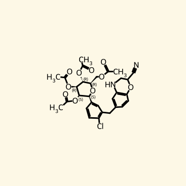 CC(=O)OC[C@H]1O[C@@H](c2ccc(Cl)c(Cc3ccc4c(c3)NCC(C#N)O4)c2)[C@H](OC(C)=O)[C@@H](OC(C)=O)[C@@H]1OC(C)=O